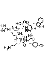 N=C(N)NCCC[C@H](N)C(=O)N[C@@H](CCCCN)C(=O)N[C@@H](Cc1ccc(O)cc1)C(=O)NCC(=O)N[C@@H](Cc1c[nH]c2ccccc12)C(=O)N[C@@H](CCCCN)C(=O)O